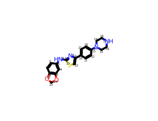 c1cc2c(cc1Nc1nc(-c3ccc(N4CCNCC4)cc3)cs1)OCO2